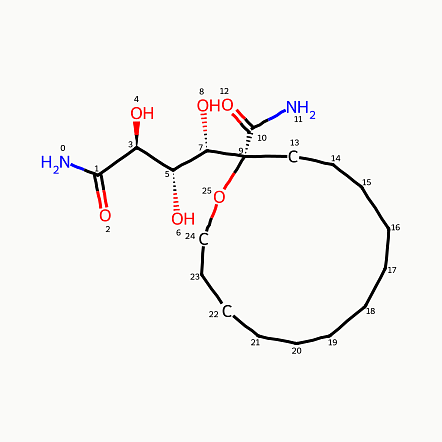 NC(=O)[C@@H](O)[C@@H](O)[C@H](O)[C@@]1(C(N)=O)CCCCCCCCCCCCO1